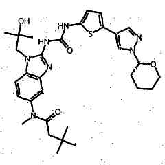 CN(C(=O)CC(C)(C)C)c1ccc2c(c1)nc(NC(=O)Nc1ccc(-c3cnn(C4CCCCO4)c3)s1)n2CC(C)(C)O